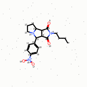 CCCCN1C(=O)C2C(C1=O)C(c1ccc([N+](=O)[O-])cc1)N1CCCC21